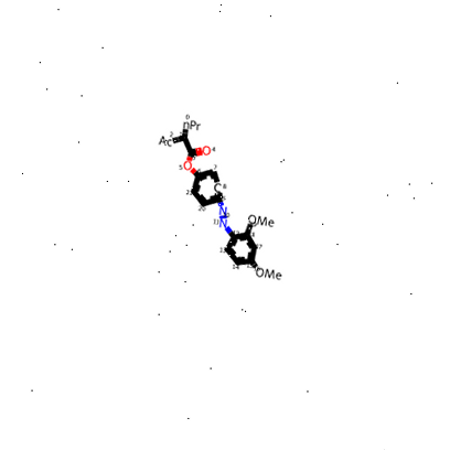 CCCC(C(C)=O)C(=O)Oc1ccc(N=Nc2ccc(OC)cc2OC)cc1